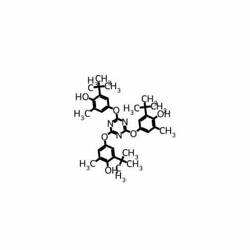 Cc1cc(Oc2nc(Oc3cc(C)c(O)c(C(C)(C)C)c3)nc(Oc3cc(C)c(O)c(C(C)(C)C)c3)n2)cc(C(C)(C)C)c1O